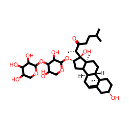 CC(C)CCC(=O)[C@@H](C)[C@@]1(O)[C@@H](OC2OCC(O)C(OC3OCC(O)C(O)C3O)C2O)CC2[C@@H]3CC=C4C[C@@H](O)CC[C@]4(C)[C@H]3CC[C@@]21C